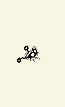 CO[C@H]1C(=O)[C@]23C[C@H]2C[C@H]2OC[C@H]2C3[C@H](OC(=O)c2ccccc2)[C@]2(O)C[C@H](OC(=O)CCc3ccccc3)C(C)=C1C2(C)C